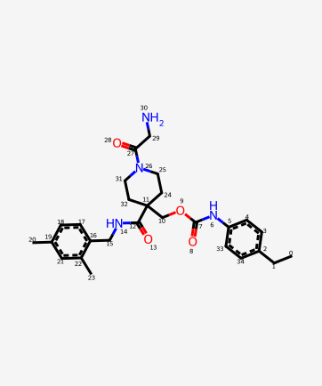 CCc1ccc(NC(=O)OCC2(C(=O)NCc3ccc(C)cc3C)CCN(C(=O)CN)CC2)cc1